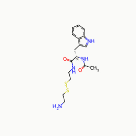 CC(=O)N[C@@H](Cc1c[nH]c2ccccc12)C(=O)NCCSSCCN